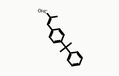 CC(C=O)=Cc1ccc(C(C)(C)c2ccccc2)cc1